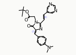 CN(C)c1ccc(/C=C2N=C(/C=C/c3cncnc3)N(CC(=O)OC(C)(C)C)C\2=O)cc1